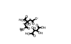 O=C(O)C(O)C(O)C(=O)O.O=C([O-])CC(O)(CC(=O)O)C(=O)O.[K+]